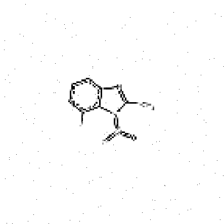 CC1=Nc2cccc(F)c2S1=S(=O)=O